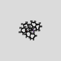 [I][Ge]([c]1cccc2ccccc12)([c]1cccc2ccccc12)[c]1cccc2ccccc12